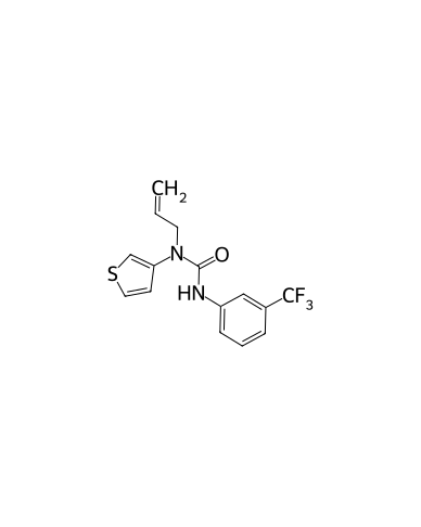 C=CCN(C(=O)Nc1cccc(C(F)(F)F)c1)c1ccsc1